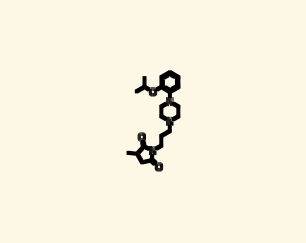 CC(C)Oc1ccccc1N1CCN(CCCN2C(=O)CC(C)C2=O)CC1